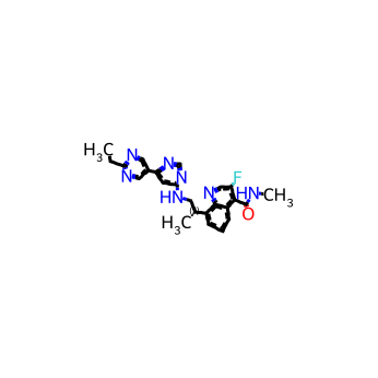 CCc1ncc(-c2cc(NC[C@@H](C)c3cccc4c(C(=O)NC)c(F)cnc34)ncn2)cn1